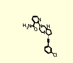 NC(=O)c1cccnc1N1CCN2[C@@H](CC[C@@H]2C#Cc2cccc(Cl)c2)C1